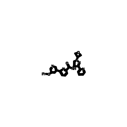 CC(C)Oc1cncc(-c2cccc(C(=O)Nc3cn(C4COC4)nc3-c3ccccn3)n2)c1